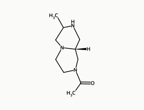 CC(=O)N1CCN2CC(C)NC[C@@H]2C1